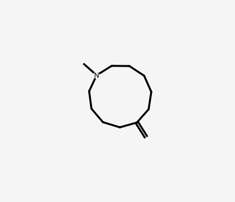 C=C1CCCCCN(C)CCCC1